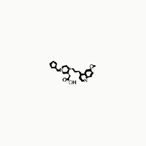 COc1ccc2nccc(CCC[C@@H]3CCN(CC4CCCC4)C[C@@H]3CC(=O)O)c2c1